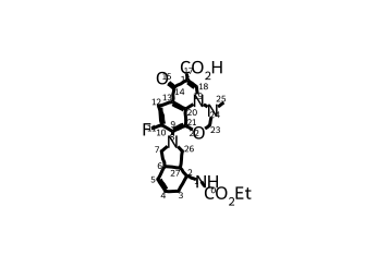 CCOC(=O)NC1CC=CC2CN(c3c(F)cc4c(=O)c(C(=O)O)cn5c4c3OCN5C)CC21